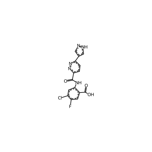 O=C(Nc1cc(Cl)c(F)cc1C(=O)O)c1ccc(-c2cn[nH]c2)nn1